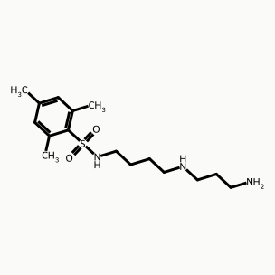 Cc1cc(C)c(S(=O)(=O)NCCCCNCCCN)c(C)c1